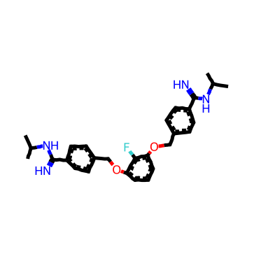 CC(C)NC(=N)c1ccc(COc2cccc(OCc3ccc(C(=N)NC(C)C)cc3)c2F)cc1